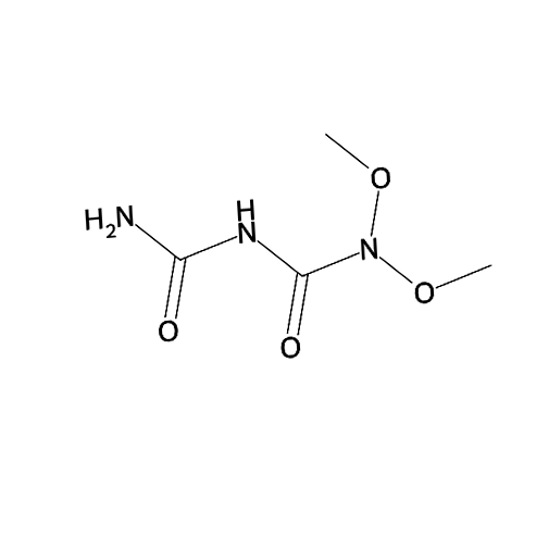 CON(OC)C(=O)NC(N)=O